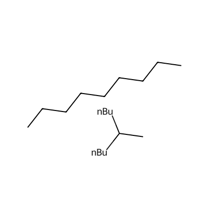 CCCCC(C)CCCC.CCCCCCCCC